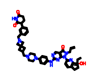 C=CCn1c(=O)c2cnc(Nc3ccc(N4CCN(CC5CC6(C5)CN(Cc5cccc(C7CCC(=O)NC7=O)c5)C6)CC4)cc3)nc2n1-c1ccc2c(n1)[C@@](O)(CC)CC2